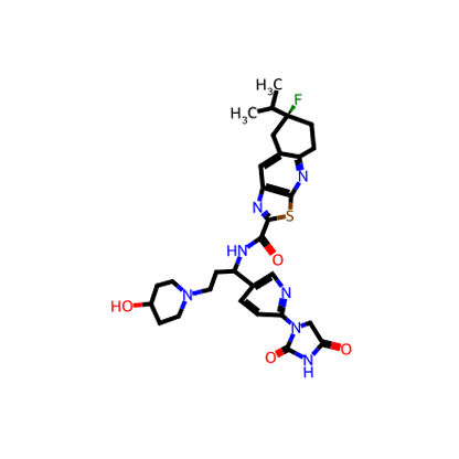 CC(C)[C@]1(F)CCc2nc3sc(C(=O)NC(CCN4CCC(O)CC4)c4ccc(N5CC(=O)NC5=O)nc4)nc3cc2C1